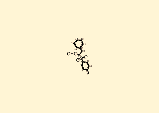 Cc1ccc(S(=O)(=O)C(C=O)Cc2ccccc2)cc1